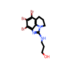 OCCCNc1nc2c(Br)c(Br)c(Br)c3c2n1CCC3